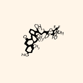 CC(CCC(=O)OC(C(F)(F)F)C(F)(F)S(=O)(=O)O)C1CCC2C3C(=O)CC4CC(O)CCC4(C)C3CC(=O)C12C